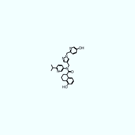 CC(C)c1ccc(N(Cc2cnn(Cc3ccc(O)cn3)c2)C(=O)C2CCCc3c(O)cccc32)cn1